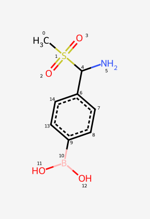 CS(=O)(=O)C(N)c1ccc(B(O)O)cc1